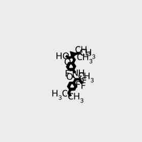 CC(C)c1ccc([C@@H](C(=O)Nc2cc(CC3(C(=O)O)CC3C(C)(C)C)ccc2F)[C@@H](C)C(F)(F)F)cc1